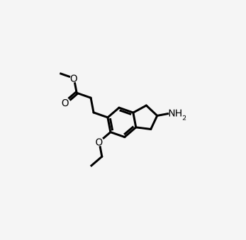 CCOc1cc2c(cc1CCC(=O)OC)CC(N)C2